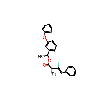 CC(C)C(C(=O)OC(C#N)c1cccc(Oc2ccccc2)c1)/C(F)=C/c1ccccc1